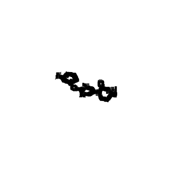 C=C1C=CN(c2cnc(Oc3cccc(F)c3)nc2)C(=O)N1